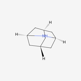 C1[C@H]2C[C@H]3C[C@H]1C[C@@H](C2)N3